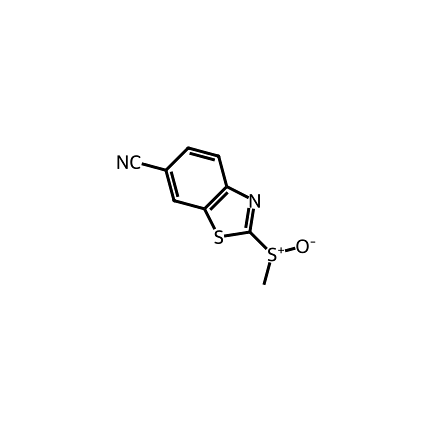 C[S+]([O-])c1nc2ccc(C#N)cc2s1